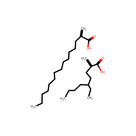 C=C(CCC(CC)CCCC)C(=O)O.C=C(CCCCCCCCCCCCC)C(=O)O